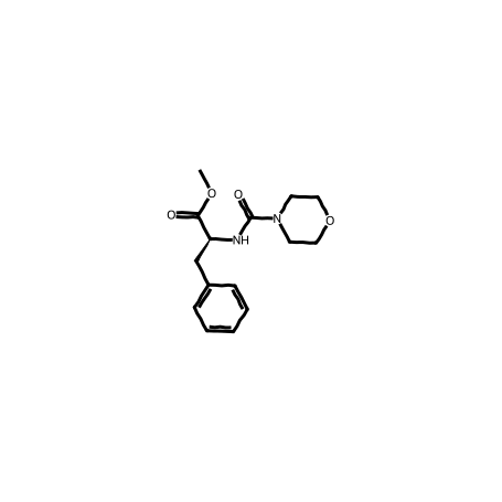 COC(=O)[C@H](Cc1ccccc1)NC(=O)N1CCOCC1